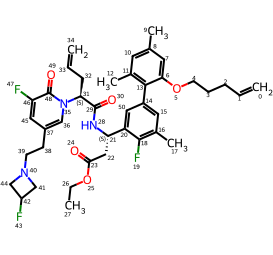 C=CCCCOc1cc(C)cc(C)c1-c1cc(C)c(F)c([C@H](CC(=O)OCC)NC(=O)[C@H](CC=C)n2cc(CCN3CC(F)C3)cc(F)c2=O)c1